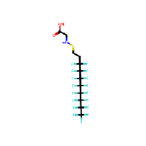 O=C(O)CNSCCC(F)(F)C(F)(F)C(F)(F)C(F)(F)C(F)(F)C(F)(F)C(F)(F)C(F)(F)F